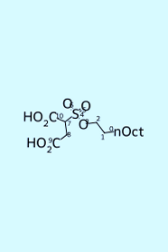 CCCCCCCCCCOS(=O)(=O)C(CC(=O)O)C(=O)O